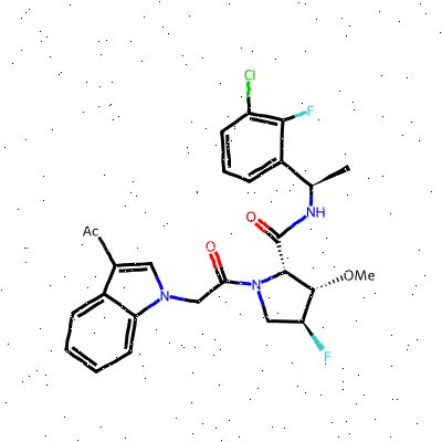 CO[C@H]1[C@@H](C(=O)N[C@H](C)c2cccc(Cl)c2F)N(C(=O)Cn2cc(C(C)=O)c3ccccc32)C[C@@H]1F